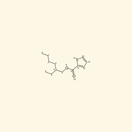 CCCCC(CC)COC(=O)c1cccs1